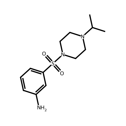 CC(C)N1CCN(S(=O)(=O)c2cccc(N)c2)CC1